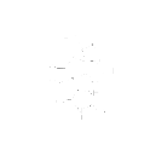 COC12C(=O)C(SC)(C3NC(=O)NC3=O)C(=O)C1C2(C)C